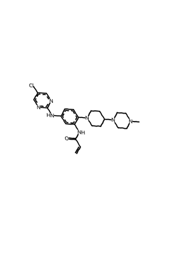 C=CC(=O)Nc1cc(Nc2ncc(Cl)cn2)ccc1N1CCC(N2CCN(C)CC2)CC1